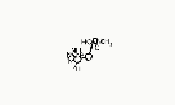 [2H]Cc1cc(-c2cccc(C#C[C@]3(O)CCN(C)C3=O)c2)nc2c(N)ncnc12